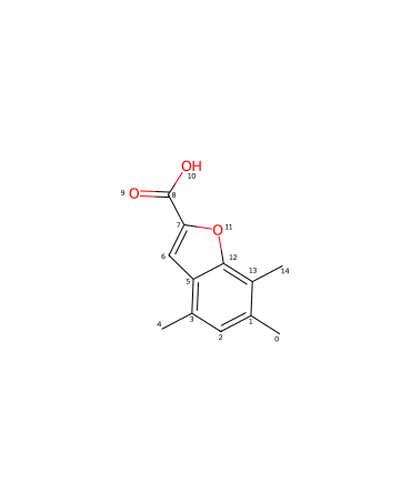 Cc1cc(C)c2cc(C(=O)O)oc2c1C